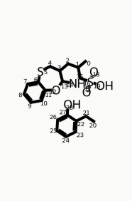 CC(CC1CSc2ccccc2OC1N)CS(=O)(=O)O.CCc1ccccc1O